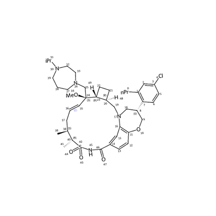 CCCc1cc(Cl)ccc1[C@@H]1COc2ccc3cc2N(C1)C[C@@H]1CC[C@H]1[C@](CN1CCCN(C(C)C)CC1)(OC)/C=C/C[C@H](C)[C@@H](C)S(=O)(=O)NC3=O